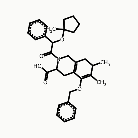 CC1=C(OCc2ccccc2)C2=C(CC1C)CN(C(=O)C(OC1(C)CCCC1)c1ccccc1)C(C(=O)O)C2